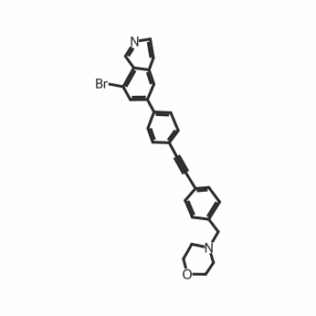 Brc1cc(-c2ccc(C#Cc3ccc(CN4CCOCC4)cc3)cc2)cc2ccncc12